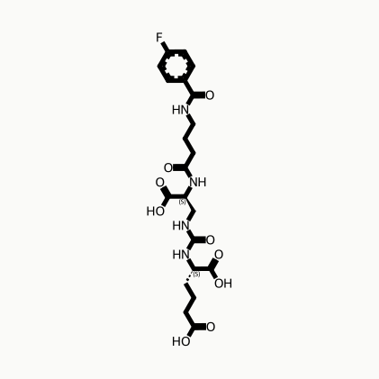 O=C(O)CCC[C@H](NC(=O)NC[C@H](NC(=O)CCCNC(=O)c1ccc(F)cc1)C(=O)O)C(=O)O